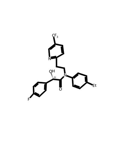 CCc1ccc(N(CCc2ccc(C(F)(F)F)cn2)C(=O)[C@@H](O)c2ccc(F)cc2)cc1